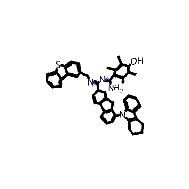 CC1=C(C)C(O)C(C)C(C)=C1/C(N)=N/C(=N\Cc1ccc2sc3ccccc3c2c1)C1C=CC2=C(Cc3c2cccc3-n2c3c(c4ccccc42)CCCC3)C1